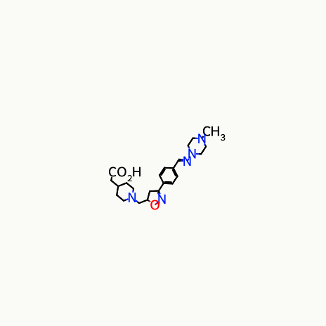 CN1CCN(N=Cc2ccc(C3=NOC(CN4CCC(CC(=O)O)CC4)C3)cc2)CC1